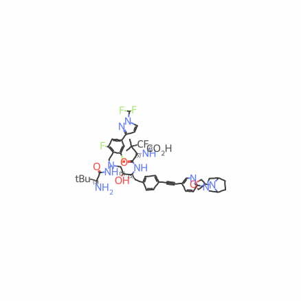 CC(C)(C)[C@H](N)C(=O)NN(Cc1c(F)cc(-c2ccn(C(F)F)n2)cc1F)C[C@H](O)[C@H](Cc1ccc(C#Cc2ccc(N3CC4CCC(C3)N4C3COC3)nc2)cc1)NC(=O)[C@@H](NC(=O)O)C(C)(C)C(F)(F)F